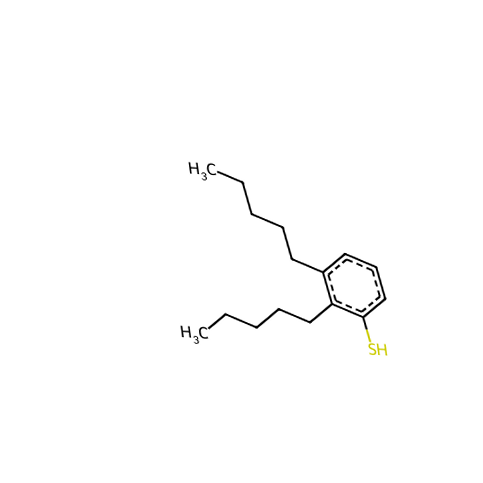 CCCCCc1cccc(S)c1CCCCC